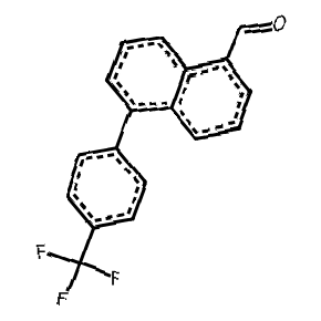 O=Cc1cccc2c(-c3ccc(C(F)(F)F)cc3)cccc12